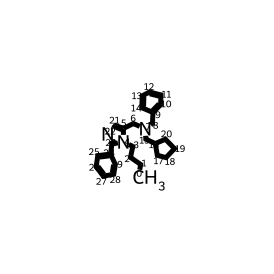 CCCCn1c(CN(Cc2ccccc2)CC2CCCC2)cnc1-c1ccccc1